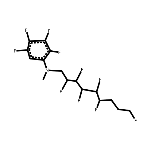 CN(CC(F)C(F)C(F)C(F)C(F)CCCF)c1cc(F)c(F)c(F)c1F